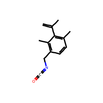 C=C(C)c1c(C)ccc(CN=C=O)c1C